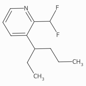 CCCC(CC)c1cccnc1C(F)F